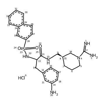 Cl.N=C(N)N1CCC[C@@H](CNC(=O)C(Cc2cccc(N)c2)NS(=O)(=O)c2ccc3ccccc3c2)C1